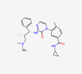 Cc1ccc(C(=O)NC2CC2)cc1-n1ccnc(N[C@@H](c2ccccc2)[C@@H](C)CN(C)C(C)(C)C)c1=O